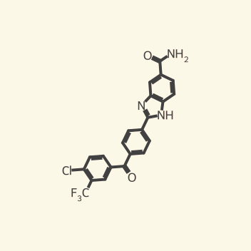 NC(=O)c1ccc2[nH]c(-c3ccc(C(=O)c4ccc(Cl)c(C(F)(F)F)c4)cc3)nc2c1